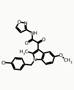 COc1ccc2c(c1)c(C(=O)C(=O)Nc1ccon1)c(C)n2Cc1ccc(Cl)cc1